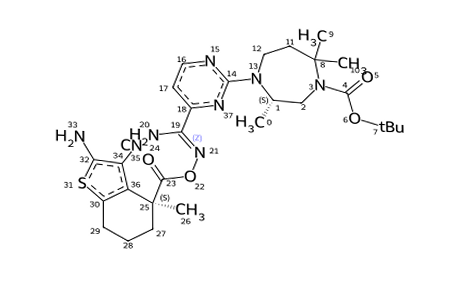 C[C@H]1CN(C(=O)OC(C)(C)C)C(C)(C)CCN1c1nccc(/C(N)=N/OC(=O)[C@@]2(C)CCCc3sc(N)c(C#N)c32)n1